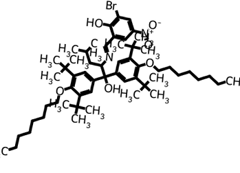 CCCCCCCCOc1c(C(C)(C)C)cc(C(O)(c2cc(C(C)(C)C)c(OCCCCCCCC)c(C(C)(C)C)c2)C(CC(C)C)N=Cc2cc([N+](=O)[O-])cc(Br)c2O)cc1C(C)(C)C